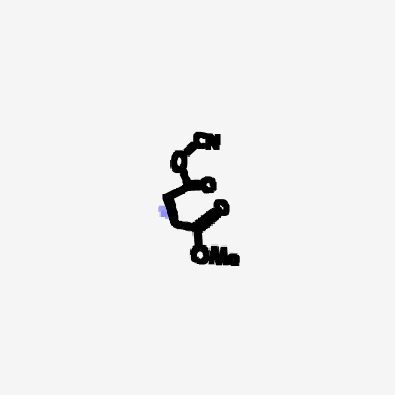 COC(=O)/C=C\C(=O)OC#N